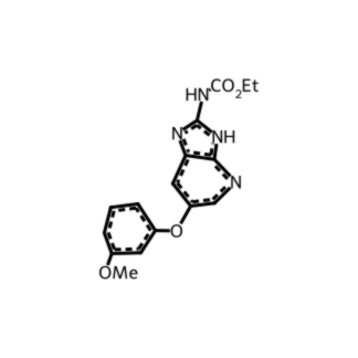 CCOC(=O)Nc1nc2cc(Oc3cccc(OC)c3)cnc2[nH]1